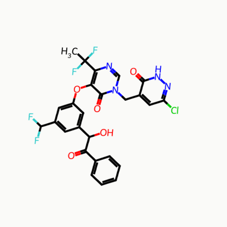 CC(F)(F)c1ncn(Cc2cc(Cl)n[nH]c2=O)c(=O)c1Oc1cc(C(F)F)cc(C(O)C(=O)c2ccccc2)c1